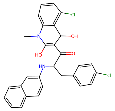 CN1C(O)=C(C(=O)C(Cc2ccc(Cl)cc2)Nc2ccc3ccccc3c2)C(O)c2c(Cl)cccc21